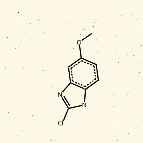 COc1ccc2c(c1)N=C(Cl)[N]2